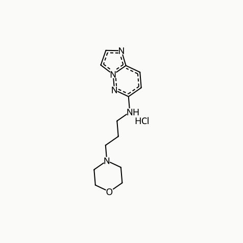 Cl.c1cn2nc(NCCCN3CCOCC3)ccc2n1